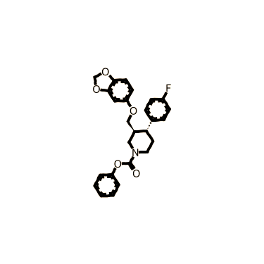 O=C(Oc1ccccc1)N1CC[C@@H](c2ccc(F)cc2)[C@H](COc2ccc3c(c2)OCO3)C1